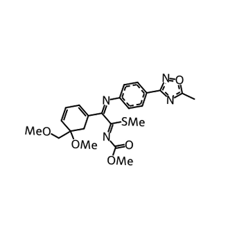 COCC1(OC)C=CC=C(C(=Nc2ccc(-c3noc(C)n3)cc2)C(=NC(=O)OC)SC)C1